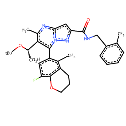 Cc1nc2cc(C(=O)NCc3ccccc3C(F)(F)F)nn2c(-c2cc(F)c3c(c2C)CCCO3)c1[C@H](OC(C)(C)C)C(=O)O